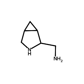 NCC1NCC2CC21